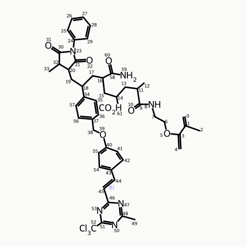 C=C(C)C(=C)OCCNC(=O)C(C)CC(CC(CC(CC1C(=O)N(c2ccccc2)C(=O)C1C)c1ccc(COc2ccc(/C=C/c3nc(C)nc(C(Cl)(Cl)Cl)n3)cc2)cc1)C(N)=O)C(=O)O